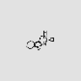 ClC1=Nc2sc3c(c2CN1)CCCC3